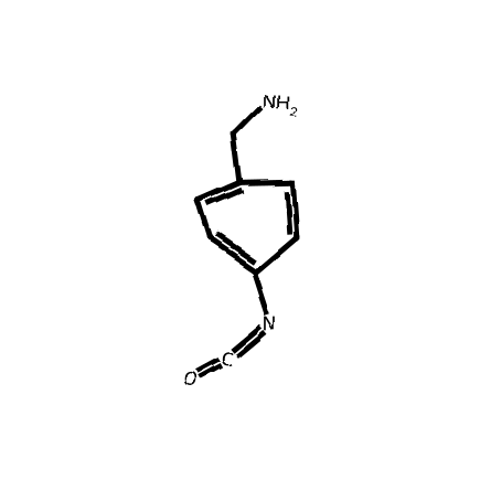 NCc1ccc(N=C=O)cc1